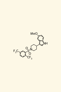 COc1ccc2[nH]cc(C3CCN(S(=O)(=O)c4cc(C(F)(F)F)ccc4C(F)(F)F)CC3)c2c1